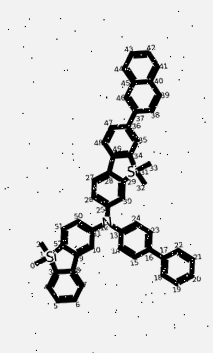 C[Si]1(C)c2ccccc2-c2cc(N(c3ccc(-c4ccccc4)cc3)c3ccc4c(c3)[Si](C)(C)c3cc(-c5ccc6ccccc6c5)ccc3-4)ccc21